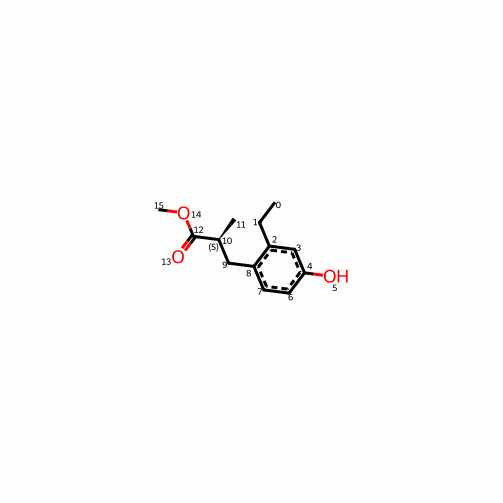 CCc1cc(O)ccc1C[C@H](C)C(=O)OC